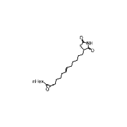 CCCCCCC1OC1CCCCC=CCCCCCC1SC(=O)NC1=O